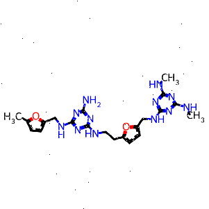 CNc1nc(NC)nc(NCc2ccc(CCNc3nc(N)nc(NCc4ccc(C)o4)n3)o2)n1